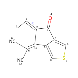 C/C=C1/C(=O)c2cscc2C1=C(C#N)C#N